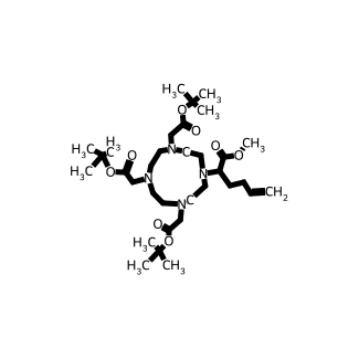 C=CCCC(C(=O)OC)N1CCN(CC(=O)OC(C)(C)C)CCN(CC(=O)OC(C)(C)C)CCN(CC(=O)OC(C)(C)C)CC1